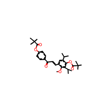 COc1c(C=CC(=O)c2ccc(OC(=O)C(C)(C)C)cc2)cc(C(C)C)c(OC(=O)C(C)(C)C)c1C(C)C